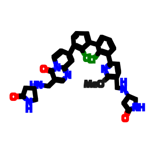 COc1nc(-c2cccc(-c3cccc(-c4ccn5c(=O)c(CN[C@@H]6CNC(=O)C6)cnc5c4)c3Cl)c2Cl)ccc1CN[C@H]1CNC(=O)C1